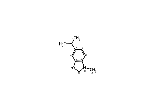 CC(C)c1ccc2c(c1)OCN2C